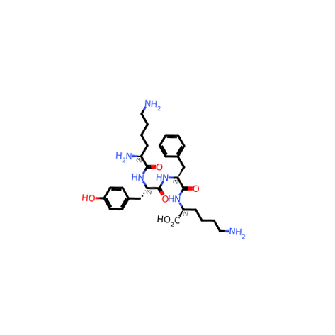 NCCCC[C@H](NC(=O)[C@H](Cc1ccccc1)NC(=O)[C@H](Cc1ccc(O)cc1)NC(=O)[C@@H](N)CCCCN)C(=O)O